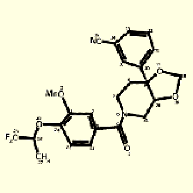 COc1cc(C(=O)N2CC[C@]3(c4cccc(C#N)c4)OCOC3C2)ccc1OC(C)C(F)(F)F